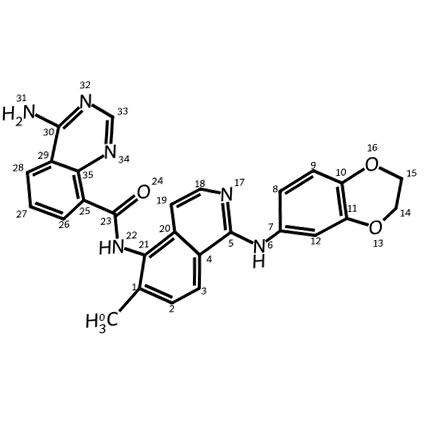 Cc1ccc2c(Nc3ccc4c(c3)OCCO4)nccc2c1NC(=O)c1cccc2c(N)ncnc12